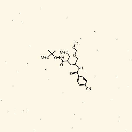 CCOCOCC(CC(COC)C(=O)NOC(C)(C)OC)NC(=O)c1ccc(C#N)cc1